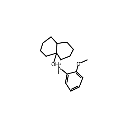 COc1ccccc1N[C@H]1CCCC2CCCCC21O